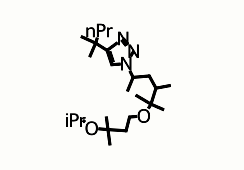 CCCC(C)(C)c1cn(C(C)CC(C)C(C)(C)OCCC(C)(C)OC(C)C)nn1